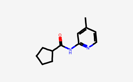 Cc1ccnc(NC(=O)C2CCCC2)c1